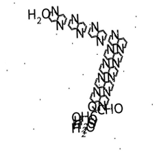 O.O.O.O.O=CC(=O)C=O.c1cnc2cccnc2c1.c1cnc2cccnc2c1.c1cnc2cccnc2c1.c1cnc2cccnc2c1.c1cnc2cccnc2c1.c1cnc2cccnc2c1.c1cnc2cccnc2c1.c1cnc2cccnc2c1